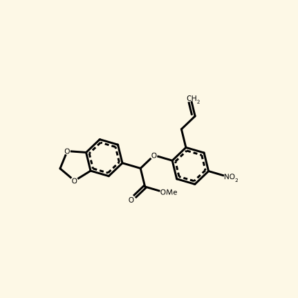 C=CCc1cc([N+](=O)[O-])ccc1OC(C(=O)OC)c1ccc2c(c1)OCO2